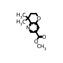 COC(=O)c1cnc2c(c1)OCCC2(C)C